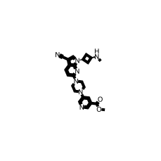 CN[C@H]1C[C@H](n2cc(C#N)c3ccc(N4CCN(c5cncc(C(=O)OC)c5)CC4)nc32)C1